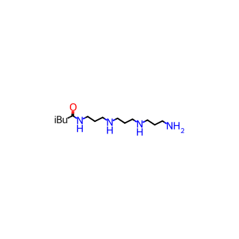 CCC(C)C(=O)NCCCNCCCNCCCN